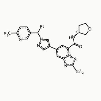 CCC(c1ccc(C(F)(F)F)nc1)n1cc(-c2cc(C(=O)N[C@H]3CCOC3)n3nc(N)nc3c2)cn1